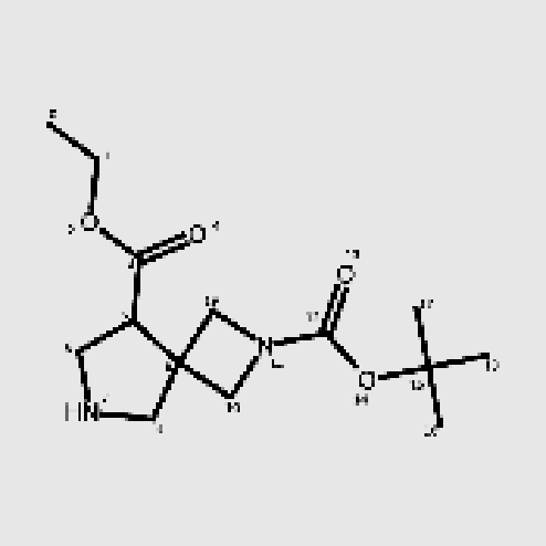 CCOC(=O)C1CNCC12CN(C(=O)OC(C)(C)C)C2